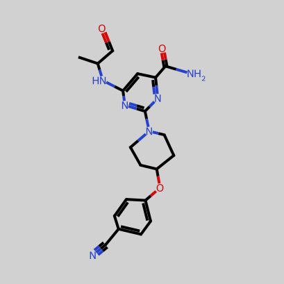 CC(C=O)Nc1cc(C(N)=O)nc(N2CCC(Oc3ccc(C#N)cc3)CC2)n1